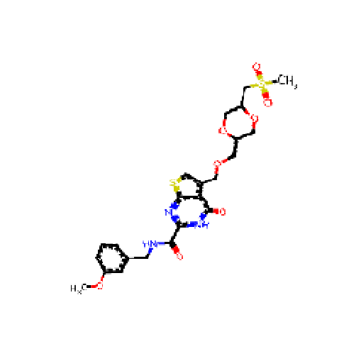 COc1cccc(CNC(=O)c2nc3scc(COCC4COC(CS(C)(=O)=O)CO4)c3c(=O)[nH]2)c1